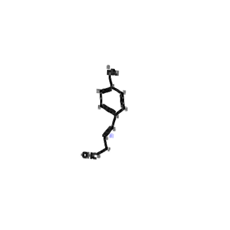 CCCCc1ccc(/C=C/C[C]=O)cc1